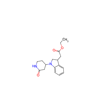 CCOC(=O)CC1CN(C2CCNC(=O)C2)c2ccccc21